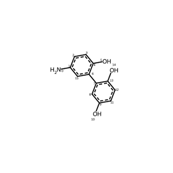 Nc1ccc(O)c(-c2cc(O)ccc2O)c1